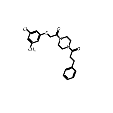 Cc1cc(Cl)cc(SCC(=O)N2CCN(C(=O)CCc3ccccc3)CC2)c1